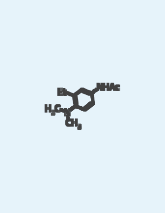 CCc1cc(NC(C)=O)ccc1N(C)C